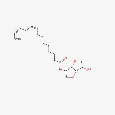 CCCCC/C=C\C/C=C\CCCCCCCC(=O)OC1COC2C(O)COC12